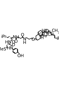 CSCC[C@H](NC(=O)[C@H](CCC(C)C)NC(=O)CCC(=O)NCCCO[C@H]1CC[C@@]2(C)C(=CC[C@H]3[C@@H]4CC[C@H]([C@H](C)CCCC(C)C)[C@@]4(C)CC[C@@H]32)C1)C(=O)Nc1ccc(CO)cc1